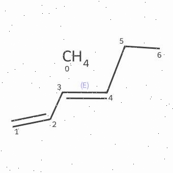 C.C=C/C=C/CC